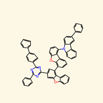 c1ccc(-c2ccc(-c3nc(-c4ccccc4)nc(-c4cc(-c5cccc6c5oc5cccc(-n7c8ccccc8c8cc(-c9ccccc9)ccc87)c56)c5c(c4)oc4ccccc45)n3)cc2)cc1